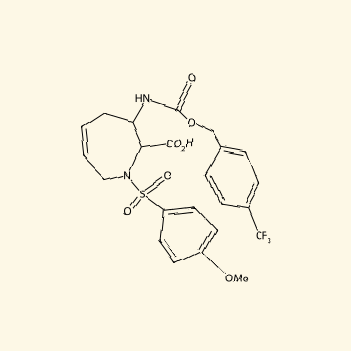 COc1ccc(S(=O)(=O)N2CC=CCC(NC(=O)OCc3ccc(C(F)(F)F)cc3)C2C(=O)O)cc1